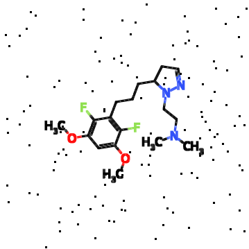 COc1cc(OC)c(F)c(CCCC2CC=NN2CCN(C)C)c1F